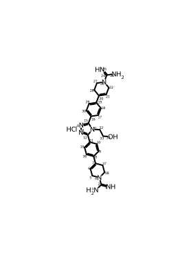 Cl.N=C(N)N1CC=C(c2ccc(-c3nnc(-c4ccc(C5=CCN(C(=N)N)CC5)cc4)n3CCO)cc2)CC1